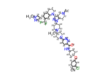 CC(=O)N1CCc2c(c(N3CCCc4cc(-c5cnn(C)c5)c(C(F)F)cc43)nn2C2CCN(C3(C)CCN(c4ccc(C(=O)NC5CCC(Oc6ccc(C#N)c(Cl)c6)CC5)nn4)CC3)CC2)C1